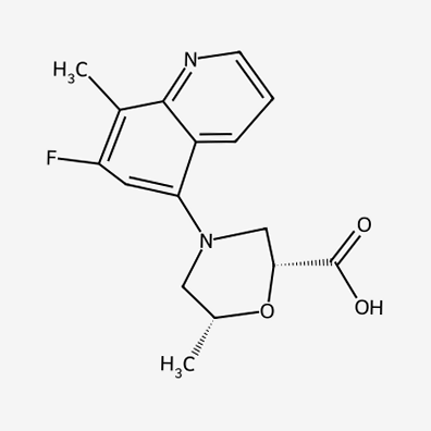 Cc1c(F)cc(N2C[C@@H](C)O[C@@H](C(=O)O)C2)c2cccnc12